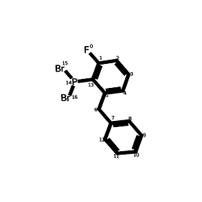 Fc1cccc(Cc2ccccc2)c1P(Br)Br